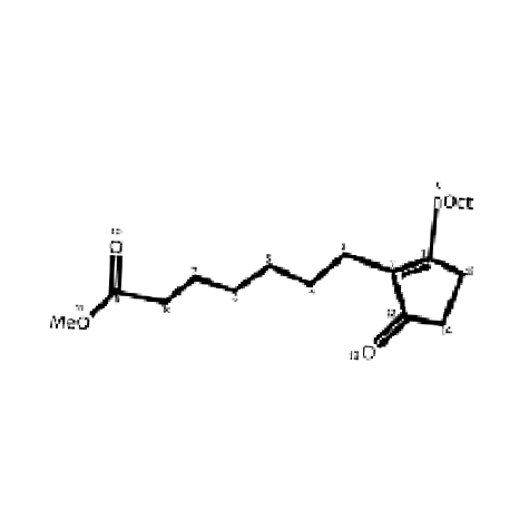 CCCCCCCCC1=C(CCCCCCC(=O)OC)C(=O)CC1